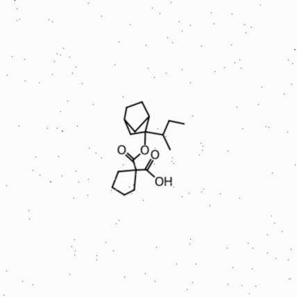 CCC(C)C1(OC(=O)C2(C(=O)O)CCCC2)CC2CCC1C2